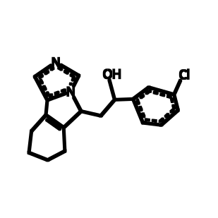 OC(CC1C2=C(CCCC2)c2cncn21)c1cccc(Cl)c1